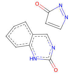 O=C1C=CN=N1.O=c1ncc2ccccc2[nH]1